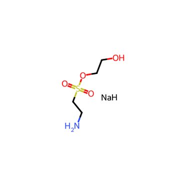 NCCS(=O)(=O)OCCO.[NaH]